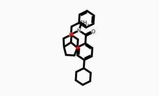 CN(CC1C2CCC1CN(Cc1ccccc1)C2)C(=O)c1ccc(C2CCCCC2)cc1